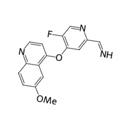 COc1ccc2nccc(Oc3cc(C=N)ncc3F)c2c1